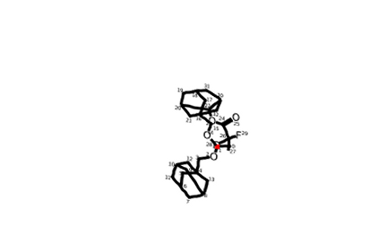 CC(OCC12CC3CC(CC(C3)C1)C2)OCC12CC3CC(C1)C(OC(=O)C(C)(F)F)C(C3)C2